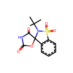 CC(C)(C)N1C2(OC(=O)NC2=O)c2ccccc2S1(=O)=O